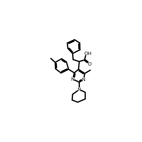 Cc1ccc(-c2nc(N3CCCCC3)nc(C)c2C(Cc2ccccc2)C(=O)O)cc1